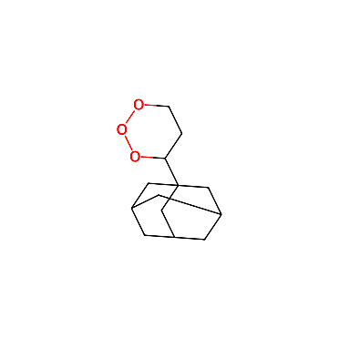 C1CC(C23CC4CC(CC(C4)C2)C3)OOO1